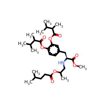 COC(=O)[C@H](Cc1ccc(OC(=O)C(C)C(C)C)c(OC(=O)C(C)C(C)C)c1)NCC(C)OC(=O)CCC(C)C